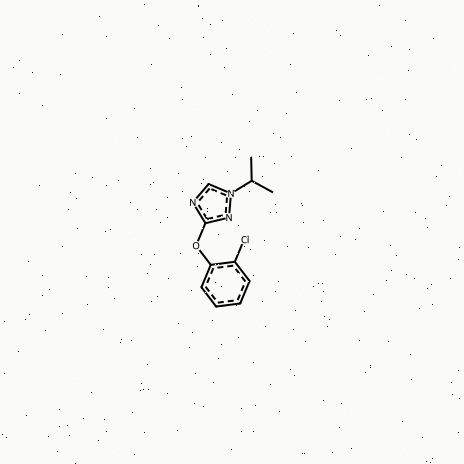 CC(C)n1cnc(Oc2ccccc2Cl)n1